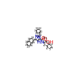 O=C(NC(Cc1ccccc1)C(=O)O)c1cc(-c2ccc3ccccc3c2)nn1Cc1ccccc1